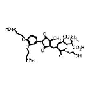 CCCCCCCCCCCCOc1ccc(N2C(=O)C(C)C(CC(CC(CC(C)C(=O)O)C(=O)OCC)C(=O)OCCO)C2=O)cc1OCCCCCCCCCCCC